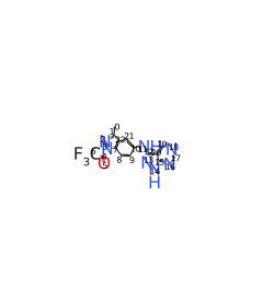 Cc1nn(C(=O)C(F)(F)F)c2ccc(Nc3n[nH]c4ncncc34)cc12